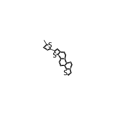 Cc1ccc(-c2cc3ccc4c5ccc6ccsc6c5ccc4c3s2)s1